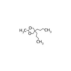 CCCCC1(CCCC)COC(C)OC1